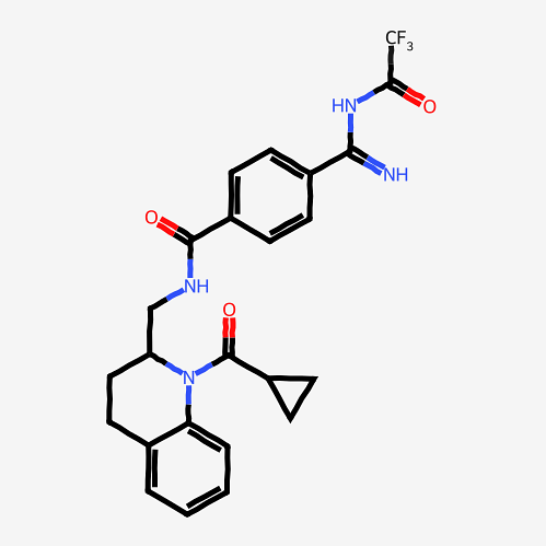 N=C(NC(=O)C(F)(F)F)c1ccc(C(=O)NCC2CCc3ccccc3N2C(=O)C2CC2)cc1